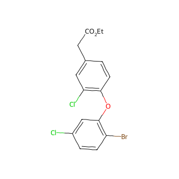 CCOC(=O)Cc1ccc(Oc2cc(Cl)ccc2Br)c(Cl)c1